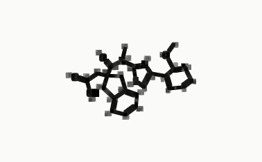 COc1ncccc1-c1csc(N(C)C(=O)C2(CC(=O)O)Cc3ccccc3C2)n1